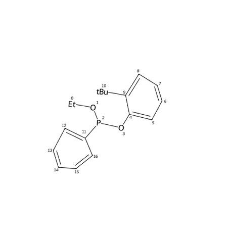 CCOP(Oc1ccccc1C(C)(C)C)c1ccccc1